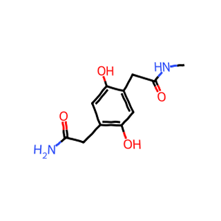 CNC(=O)Cc1cc(O)c(CC(N)=O)cc1O